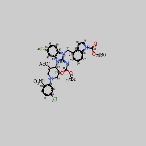 CC(=O)OC1CN(c2cc(Cl)ccc2[N+](=O)[O-])CCC1n1c(=NC(=O)OC(C)(C)C)n(Cc2cccc3c2ccn3C(=O)OC(C)(C)C)c2ccc(F)cc21